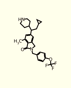 Cc1cc(C(CC2CC2)C2CCNCC2)cc2c1C(=O)N(Cc1ccc(OC(F)(F)F)cc1)C2